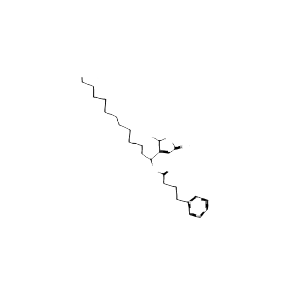 CCCCCCCCCCCCC(OC(=O)CCCc1ccccc1)C1=CC(=O)OC1O